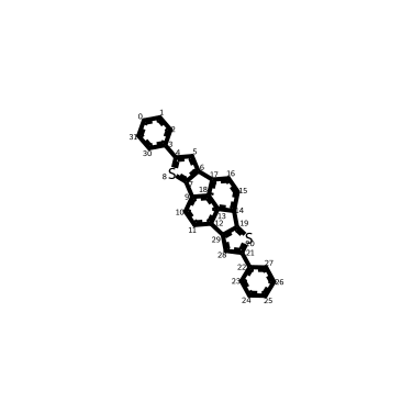 c1ccc(-c2cc3c(s2)-c2ccc4c5c(ccc-3c25)-c2sc(-c3ccccc3)cc2-4)cc1